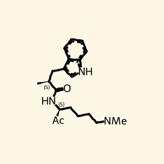 CNCCCC[C@H](NC(=O)[C@@H](C)Cc1c[nH]c2ccccc12)C(C)=O